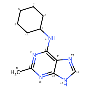 Cc1nc(NC2CCCCC2)c2nc[nH]c2n1